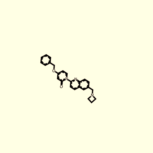 O=c1cc(OCc2ccccc2)ccn1-c1ccc2cc(CN3CCC3)ccc2n1